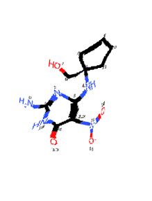 Nc1nc(N[C@]2(CO)C=CCC2)c([N+](=O)[O-])c(=O)[nH]1